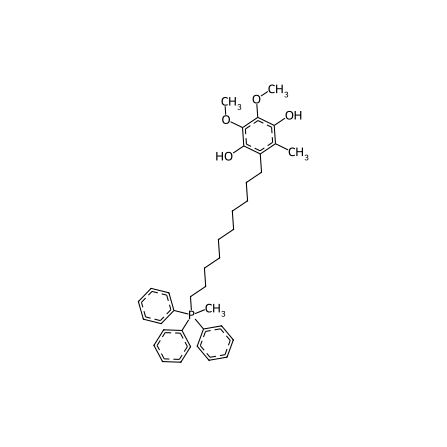 COc1c(O)c(C)c(CCCCCCCCCCP(C)(c2ccccc2)(c2ccccc2)c2ccccc2)c(O)c1OC